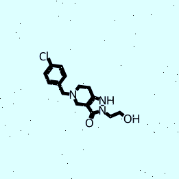 O=c1c2c([nH]n1CCO)CCN(Cc1ccc(Cl)cc1)C2